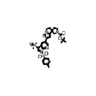 Cc1ccc(S(=O)(=O)n2cc(P(C)(C)=O)c3cc(-c4cc5n(n4)CCC54CCN(C(=O)OC(C)(C)C)C4)cnc32)cc1